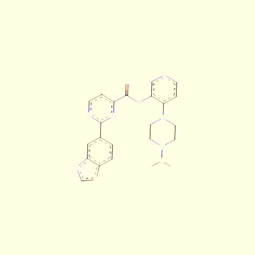 CB(O)N1CCN(c2ccncc2NC(=O)c2ccnc(-c3ccc4scnc4c3)n2)CC1